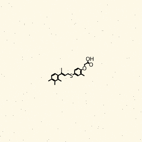 Cc1cc(SCC=C(I)c2ccc(C)c(C)c2C)ccc1OCC(=O)O